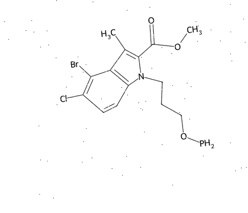 COC(=O)c1c(C)c2c(Br)c(Cl)ccc2n1CCCOP